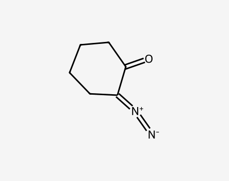 [N-]=[N+]=C1CCCCC1=O